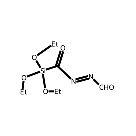 CCO[Si](OCC)(OCC)C(=O)N=N[C]=O